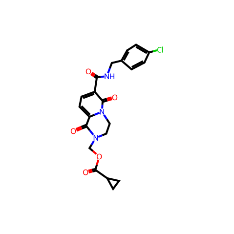 O=C(NCc1ccc(Cl)cc1)c1ccc2n(c1=O)CCN(COC(=O)C1CC1)C2=O